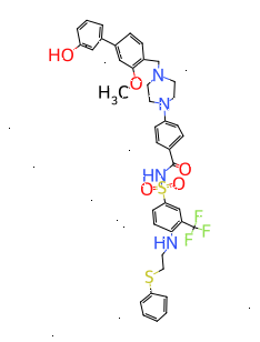 COc1cc(-c2cccc(O)c2)ccc1CN1CCN(c2ccc(C(=O)NS(=O)(=O)c3ccc(NCCSc4ccccc4)c(C(F)(F)F)c3)cc2)CC1